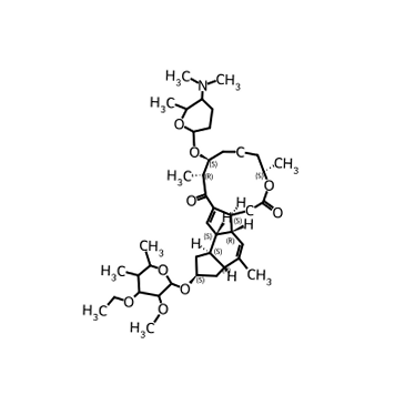 CCOC1C(C)C(C)OC(O[C@H]2C[C@H]3[C@@H]4C=C5C(=O)[C@H](C)[C@@H](OC6CCC(N(C)C)C(C)O6)CCC[C@H](C)OC(=O)C[C@H]5[C@@H]4C=C(C)[C@@H]3C2)C1OC